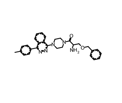 Cc1ccc(-c2nnc(N3CCN(C(=O)C(N)COCc4ccccc4)CC3)c3ccccc23)cc1